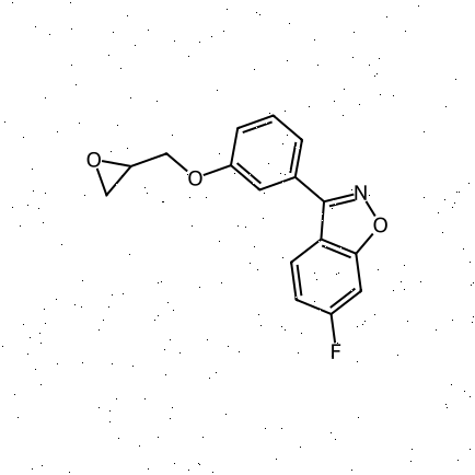 Fc1ccc2c(-c3cccc(OCC4CO4)c3)noc2c1